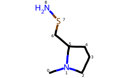 CN1CCCC1CSN